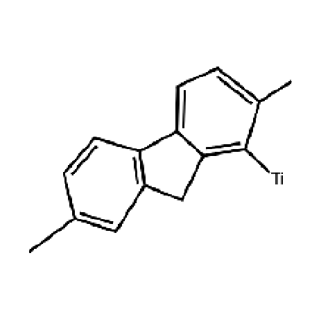 Cc1ccc2c(c1)Cc1c-2ccc(C)[c]1[Ti]